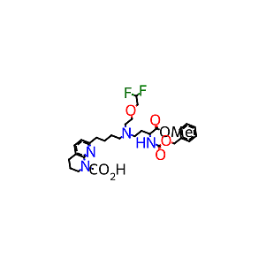 COC(=O)C(CCN(CCCCc1ccc2c(n1)N(C(=O)O)CCC2)CCOCC(F)F)NC(=O)OCc1ccccc1